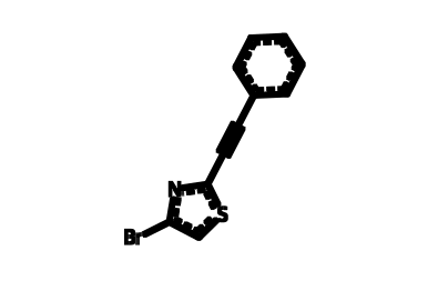 Brc1csc(C#Cc2ccccc2)n1